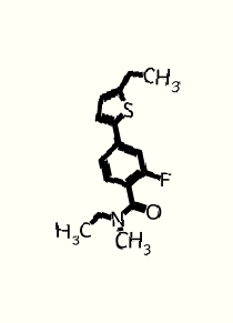 CCc1ccc(-c2ccc(C(=O)N(C)CC)c(F)c2)s1